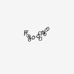 O=C(c1ccc(-c2cc(Cl)c(CC3CCN(C4CCOCC4)C3=O)c(Cl)c2)cc1)N1CCC(C(F)(F)F)CC1